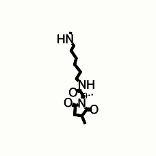 CNCCCCCCNC(=O)[C@H](C)N1C(=O)CC(C)C1=O